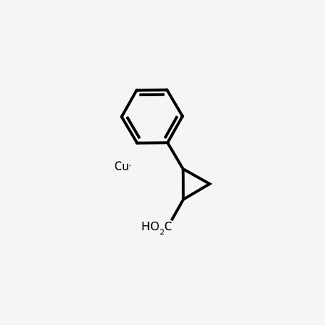 O=C(O)C1CC1c1ccccc1.[Cu]